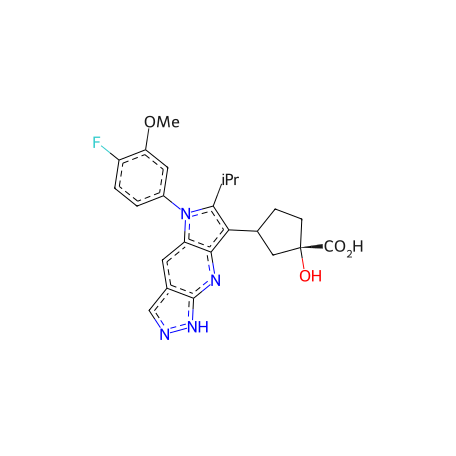 COc1cc(-n2c(C(C)C)c(C3CC[C@@](O)(C(=O)O)C3)c3nc4[nH]ncc4cc32)ccc1F